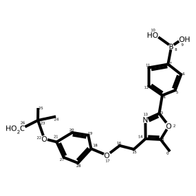 Cc1oc(-c2ccc(B(O)O)cc2)nc1CCOc1ccc(OC(C)(C)C(=O)O)cc1